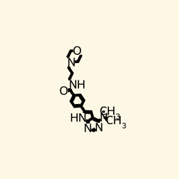 CN(C)c1ncnc2[nH]c(-c3ccc(C(=O)NCCCN4CCOCC4)cc3)cc12